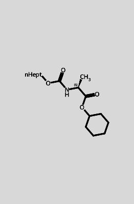 CCCCCCCOC(=O)N[C@@H](C)C(=O)OC1CCCCC1